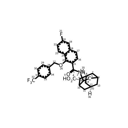 O=C(N[C@@]1(C(=O)O)CC2C[C@@H]3CC1C[C@H](C2)C3)c1ccc2cc(F)ccc2c1OCc1ccc(C(F)(F)F)cc1